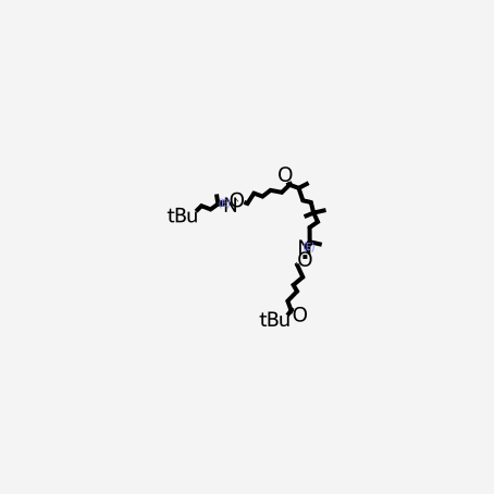 C/C(CCC(C)(C)C)=N\OCCCCCC(=O)C(C)CCC(C)(C)CC/C(C)=N/OCCCCCC(=O)C(C)(C)C